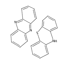 c1ccc2c(c1)Nc1ccccc1S2.c1ccc2nc3ccccc3nc2c1